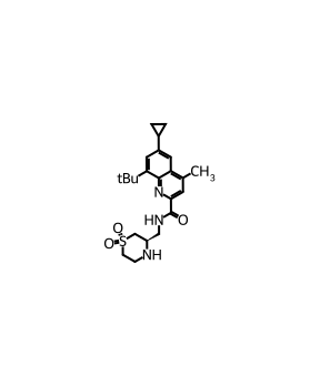 Cc1cc(C(=O)NC[C@@H]2CS(=O)(=O)CCN2)nc2c(C(C)(C)C)cc(C3CC3)cc12